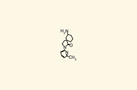 Cc1cccc(N2CCC3(CCCC(N)C3)C2=O)n1